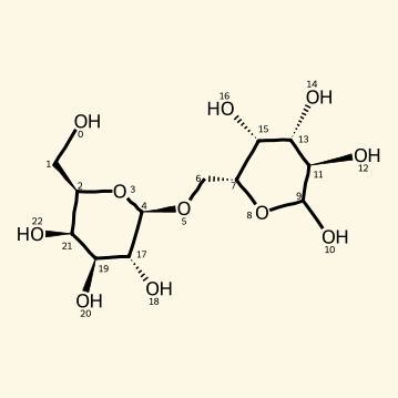 OC[C@H]1O[C@@H](OC[C@H]2OC(O)[C@H](O)[C@@H](O)[C@H]2O)[C@H](O)[C@@H](O)[C@H]1O